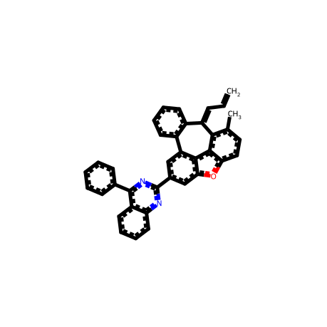 C=C/C=C1/c2ccccc2-c2cc(-c3nc(-c4ccccc4)c4ccccc4n3)cc3oc4ccc(C)c1c4c23